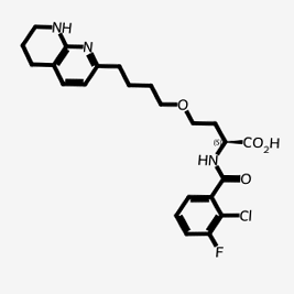 O=C(N[C@@H](CCOCCCCc1ccc2c(n1)NCCC2)C(=O)O)c1cccc(F)c1Cl